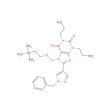 CCCn1c(=O)c2c(nc(-c3cnn(Cc4ccccc4)c3)n2COCC[Si](C)(C)C)n(CCC)c1=O